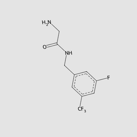 NCC(=O)NCc1cc(F)cc(C(F)(F)F)c1